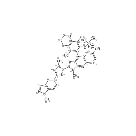 Cc1nc2c(cc(-c3nc(-c4ccc5c(cnn5C)c4)nn3C)n2C)c(-c2cc(F)c3c(c2C)CCCO3)c1[C@H](OC(C)(C)C)C(=O)O